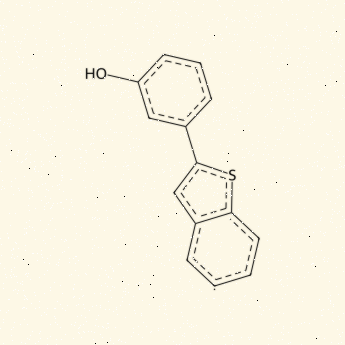 Oc1cccc(-c2cc3c[c]ccc3s2)c1